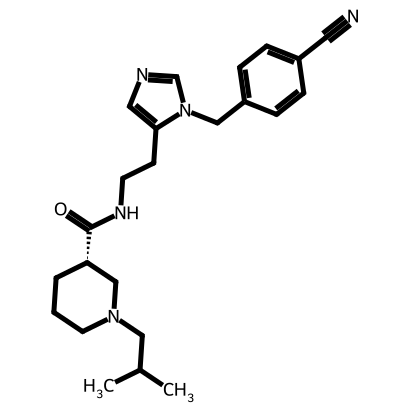 CC(C)CN1CCC[C@H](C(=O)NCCc2cncn2Cc2ccc(C#N)cc2)C1